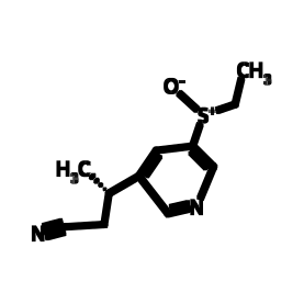 CC[S+]([O-])c1cncc([C@@H](C)CC#N)c1